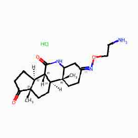 C[C@]12CC/C(=N/OCCN)CC1NC(=O)[C@@H]1[C@@H]2CC[C@]2(C)C(=O)CC[C@@H]12.Cl